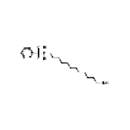 CCCCCCCCCCCCCCCCCCCCCC[PH](CC)(CC)C(Cl)(Cl)c1ccccc1